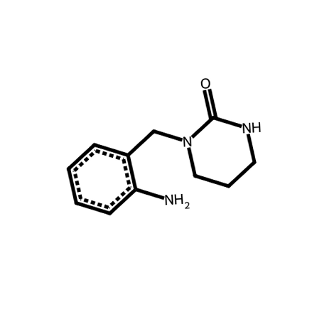 Nc1ccccc1CN1CCCNC1=O